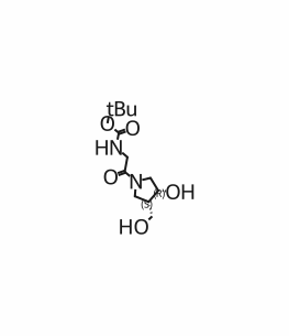 CC(C)(C)OC(=O)NCC(=O)N1C[C@@H](CO)[C@@H](O)C1